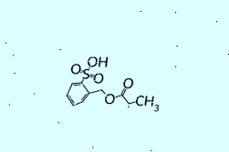 C[CH]C(=O)OCc1ccccc1S(=O)(=O)O